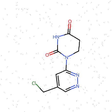 O=C1CCN(c2cc(CCl)cnn2)C(=O)N1